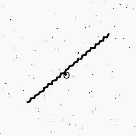 CCCCCCCCCCCCCCCCCCCCCC(=O)CCCCCCCCCCCCCCCCC